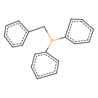 [c]1ccccc1CP(c1ccccc1)c1ccccc1